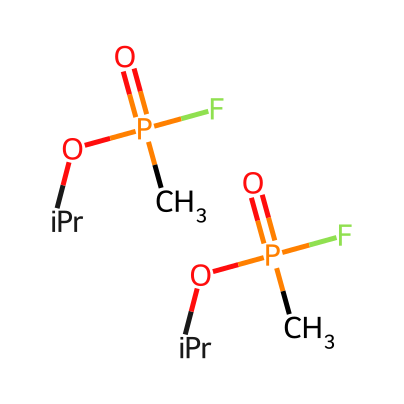 CC(C)OP(C)(=O)F.CC(C)OP(C)(=O)F